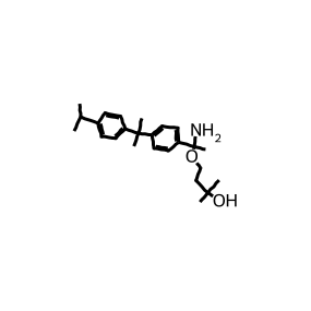 CC(C)c1ccc(C(C)(C)c2ccc(C(C)(N)OCCC(C)(C)O)cc2)cc1